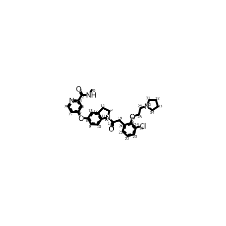 CNC(=O)c1cc(Oc2ccc3c(c2)CCN3C(=O)Cc2cccc(Cl)c2OCCN2CCCC2)ccn1